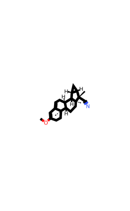 COC1=CC2=CC[C@H]3[C@@H]4[C@@H]5C[C@@H]5[C@](C)(C#N)[C@@]4(C)CC[C@@H]3[C@@]2(C)CC1